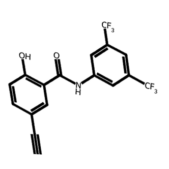 C#Cc1ccc(O)c(C(=O)Nc2cc(C(F)(F)F)cc(C(F)(F)F)c2)c1